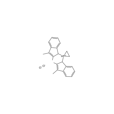 CC1=C(C)[CH]([Hf+2]2([CH]3C(C)=C(C)c4ccccc43)[CH2][CH2]2)c2ccccc21.[Cl-].[Cl-]